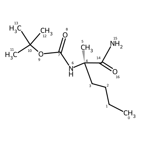 CCCC[C@@](C)(NC(=O)OC(C)(C)C)C(N)=O